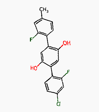 Cc1ccc(-c2cc(O)c(-c3ccc(Cl)cc3F)cc2O)c(F)c1